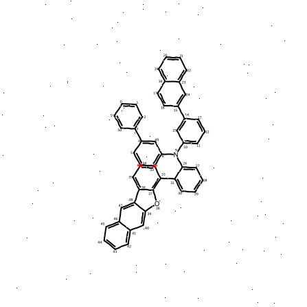 c1ccc(-c2cccc(N(c3cccc(-c4ccc5ccccc5c4)c3)c3ccccc3-c3cccc4c3oc3cc5ccccc5cc34)c2)cc1